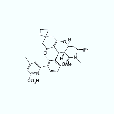 COc1ccc(-c2cc(C)cc(C(=O)O)n2)c(C)c1[C@H]1C2=C(CC3(CCC3)CC2=O)O[C@H]2C[C@@H](C(C)C)N(C)C(=O)[C@@H]21